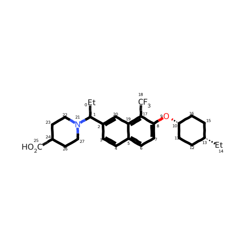 CCC(c1ccc2ccc(O[C@H]3CC[C@@H](CC)CC3)c(C(F)(F)F)c2c1)N1CCC(C(=O)O)CC1